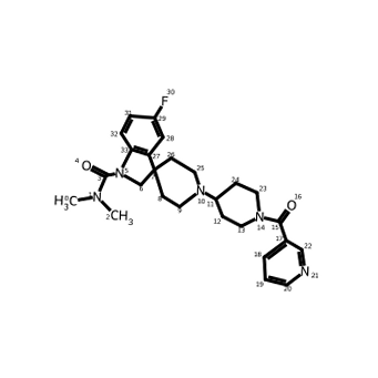 CN(C)C(=O)N1CC2(CCN(C3CCN(C(=O)c4cccnc4)CC3)CC2)c2cc(F)ccc21